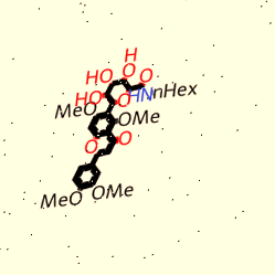 CCCCCCNC(=O)C1OC(c2c(OC)cc3oc(-c4ccc(OC)c(OC)c4)cc(=O)c3c2OC)C(O)C(O)C1O